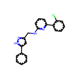 Clc1ccccc1-c1cccc(NCc2cc(-c3ccccc3)[nH]n2)n1